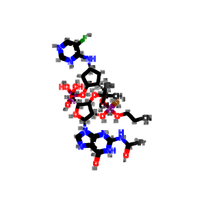 CC(C)C(=O)Nc1nc2c(ncn2[C@@H]2O[C@H](CO)[C@@H](O[Si](C)(C)C(C)(C)C)[C@@H]2OP(=S)(OCCC#N)OC[C@H]2C[C@@H](Nc3ncncc3F)C[C@@H]2O[PH](=O)O)c(=O)[nH]1